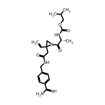 C=CC1(CC(=O)NCc2ccc(C(=N)N)cc2)CN1C(=O)[C@@H](C)NC(=O)OCC(C)C